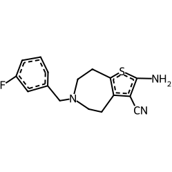 N#Cc1c(N)sc2c1CCN(Cc1cccc(F)c1)CC2